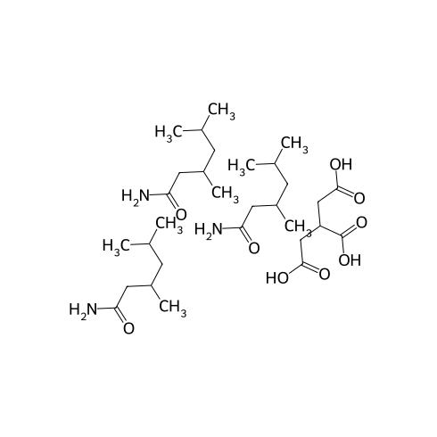 CC(C)CC(C)CC(N)=O.CC(C)CC(C)CC(N)=O.CC(C)CC(C)CC(N)=O.O=C(O)CC(CC(=O)O)C(=O)O